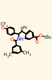 CCCC(c1ccc(C(=O)OC(C)(C)C)cc1)C(NC(=O)c1cc(C)cc(C)c1)c1ccc(OC(F)(F)F)cc1